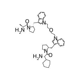 C[C@H](N)C(=O)N1CCC[C@H]1Cc1cn(CCOCCn2cc(C[C@@H]3CCCN3C(=O)[C@@H](N)C3CCCCC3)c3ccccc32)c2ccccc12